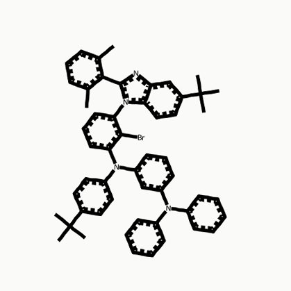 Cc1cccc(C)c1-c1nc2cc(C(C)(C)C)ccc2n1-c1cccc(N(c2ccc(C(C)(C)C)cc2)c2cccc(N(c3ccccc3)c3ccccc3)c2)c1Br